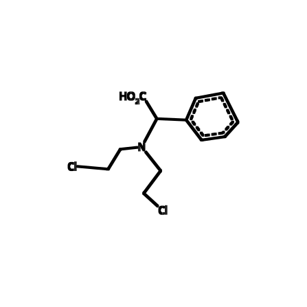 O=C(O)C(c1ccccc1)N(CCCl)CCCl